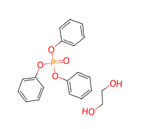 O=P(Oc1ccccc1)(Oc1ccccc1)Oc1ccccc1.OCCO